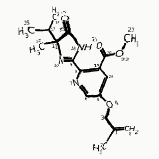 C=C(C)COc1cnc(C2=NC(C)(C(C)C)C(=O)N2)c(C(=O)OC)c1